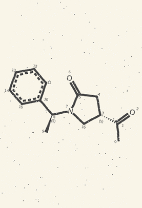 CC(=O)[C@H]1CC(=O)N([C@@H](C)c2ccccc2)C1